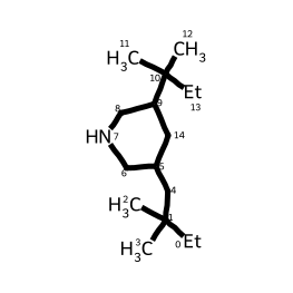 CCC(C)(C)CC1CNCC(C(C)(C)CC)C1